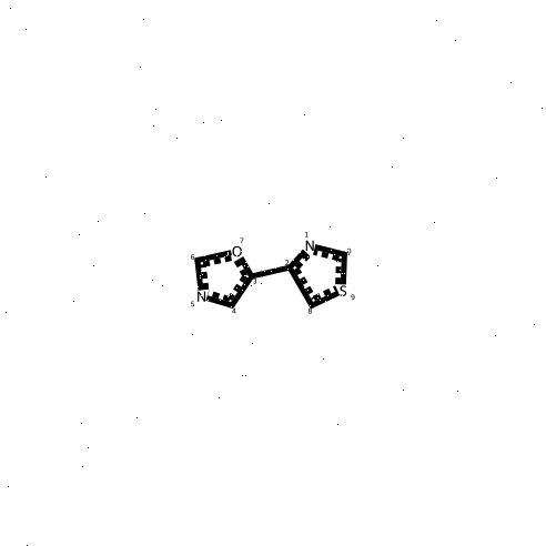 [c]1nc(-c2cnco2)cs1